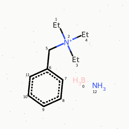 B.CC[N+](CC)(CC)Cc1ccccc1.N